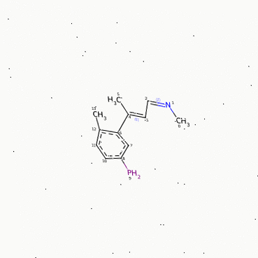 C/N=C\C=C(/C)c1cc(P)ccc1C